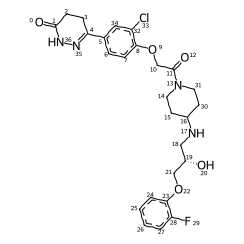 O=C1CCC(c2ccc(OCC(=O)N3CCC(NC[C@H](O)COc4ccccc4F)CC3)c(Cl)c2)=NN1